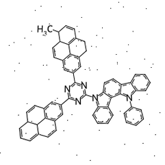 CC1C=CC2=C3c4c(cc(-c5nc(-c6cc7c8c(c6)C=CC6C=CC=C(C=C7)C86)nc(-n6c7ccccc7c7c6ccc6c8ccccc8n(-c8ccccc8)c67)n5)cc4CC2)C=CC31